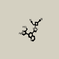 N#CCC1(n2ncc(-c3cc(-c4c[nH]nc4CO)cc4ncccc34)n2)CC(C#N)C1